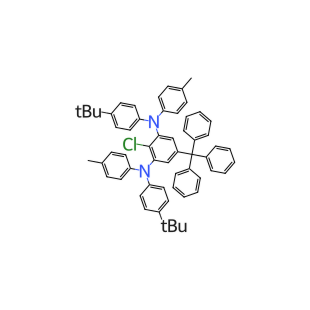 Cc1ccc(N(c2ccc(C(C)(C)C)cc2)c2cc(C(c3ccccc3)(c3ccccc3)c3ccccc3)cc(N(c3ccc(C)cc3)c3ccc(C(C)(C)C)cc3)c2Cl)cc1